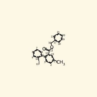 Cc1ccc(-c2ccccc2I)c(C(=O)OCc2ccccc2)c1